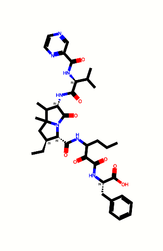 CCCC(NC(=O)[C@@H]1[C@@H](CC)CC2(C)C(C)[C@H](NC(=O)[C@@H](NC(=O)c3cnccn3)C(C)C)C(=O)N12)C(=O)C(=O)N[C@@H](Cc1ccccc1)C(=O)O